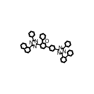 c1ccc(-c2nc(-c3ccc(-c4ccc(-c5nc(-c6ccccc6)nc(-c6cccc7ccccc67)n5)c5c4oc4ccccc45)cc3)nc(-c3ccccc3-c3ccccc3)n2)cc1